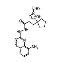 Cc1cccc2nnc(NNC(=O)C(CN(O)C=O)CC3(C)CCCC3)nc12